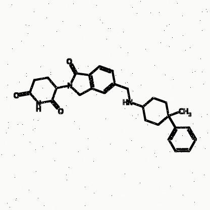 CC1(c2ccccc2)CCC(NCc2ccc3c(c2)CN(C2CCC(=O)NC2=O)C3=O)CC1